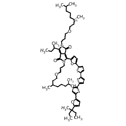 CCC(C)C1=C2C(=O)N(CCCOCCC(C)CCCC(C)C)C(c3ccc(-c4ccc(-c5ccc(-c6ccc(-c7ccc(C(C)(CC)CC)o7)s6)s5)s4)o3)=C2C(=O)N1CCCOCC[C@@H](C)CCCC(C)C